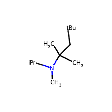 CC(C)N(C)C(C)(C)CC(C)(C)C